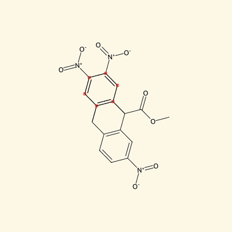 COC(=O)C12c3ccc([N+](=O)[O-])cc3C(c3ccc([N+](=O)[O-])cc31)c1ccc([N+](=O)[O-])cc12